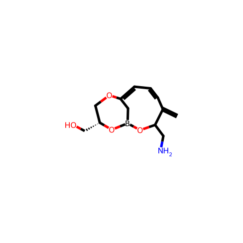 C=C1/C=C\C=C2/CB(OC1CN)O[C@H](CO)CO2